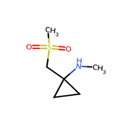 CNC1(CS(C)(=O)=O)CC1